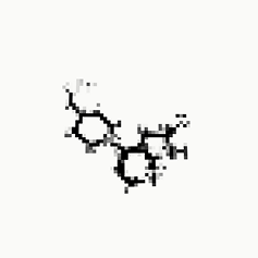 C[C](C)CC1CCN(c2ccnc3c2CC(=O)N3)CC1